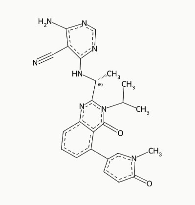 CC(C)n1c([C@@H](C)Nc2ncnc(N)c2C#N)nc2cccc(-c3ccc(=O)n(C)c3)c2c1=O